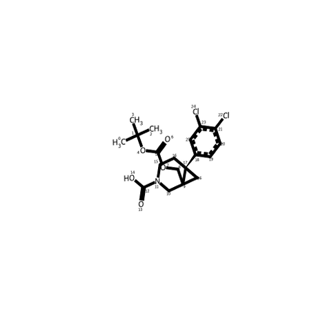 CC(C)(C)OC(=O)OCC12CN(C(=O)O)CC[C@]1(c1ccc(Cl)c(Cl)c1)C2